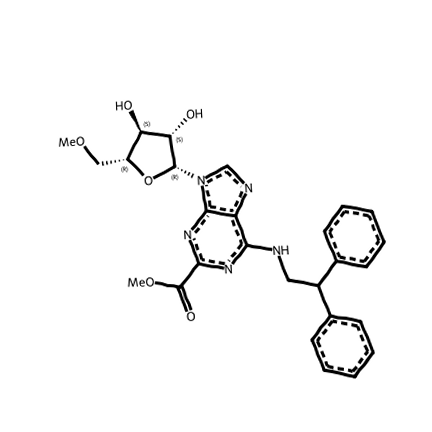 COC[C@H]1O[C@@H](n2cnc3c(NCC(c4ccccc4)c4ccccc4)nc(C(=O)OC)nc32)[C@@H](O)[C@@H]1O